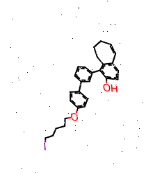 Oc1ccc2c(c1-c1cccc(-c3ccc(OCCCCCI)cc3)c1)CCCC=C2